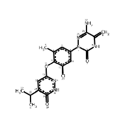 C=C1NC(=O)N(c2cc(C)c(Oc3cc(C(C)C)c(=O)[nH]n3)c(Cl)c2)N=C1N